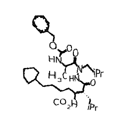 CC(C)C[C@@H](C(=O)NN(CC(C)C)C(=O)[C@@H](C)NC(=O)OCc1ccccc1)C(CCCCC1CCCCC1)C(=O)O